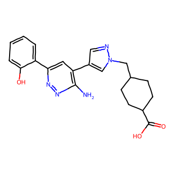 Nc1nnc(-c2ccccc2O)cc1-c1cnn(CC2CCC(C(=O)O)CC2)c1